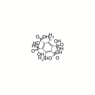 Cc1c(P(=O)(O)O)c(P(=O)(O)O)c(C)c(P(=O)(O)O)c1P(=O)(O)O